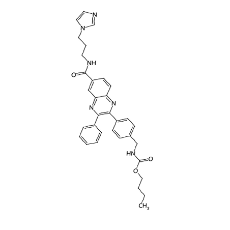 CCCCOC(=O)NCc1ccc(-c2nc3ccc(C(=O)NCCCn4ccnc4)cc3nc2-c2ccccc2)cc1